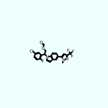 Cn1nc(C(F)(F)F)cc1-c1ccc2c(ccn2C(COC=O)c2cc(Cl)ccc2F)c1